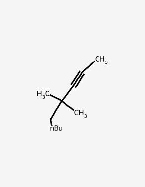 [CH2]CCCCC(C)(C)C#CC